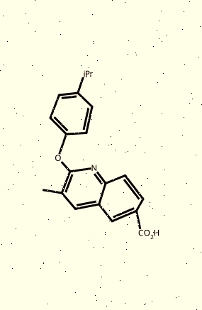 Cc1cc2cc(C(=O)O)ccc2nc1Oc1ccc(C(C)C)cc1